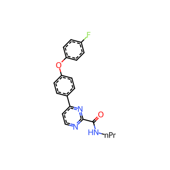 CCCNC(=O)c1nccc(-c2ccc(Oc3ccc(F)cc3)cc2)n1